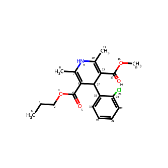 CCCOC(=O)C1=C(C)NC(C)=C(C(=O)OC)C1c1ccccc1Cl